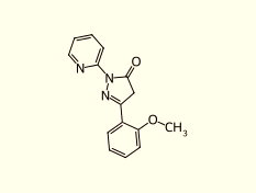 COc1ccccc1C1=NN(c2ccccn2)C(=O)C1